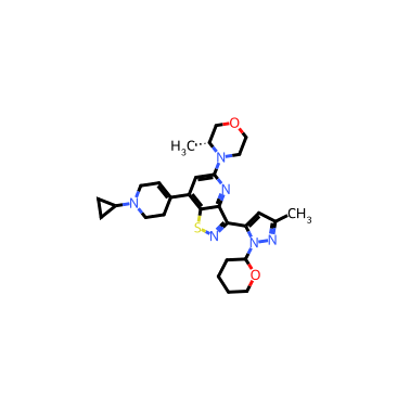 Cc1cc(-c2nsc3c(C4=CCN(C5CC5)CC4)cc(N4CCOC[C@H]4C)nc23)n(C2CCCCO2)n1